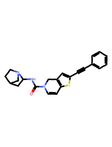 O=C(NC1CC2CCN1C2)N1C=Cc2sc(C#Cc3ccccc3)cc2C1